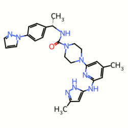 Cc1cc(Nc2cc(C)n[nH]2)nc(N2CCN(C(=O)N[C@@H](C)c3ccc(-n4cccn4)cc3)CC2)c1